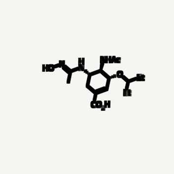 CCC(CC)O[C@@H]1C=C(C(=O)O)C[C@H](N/C(C)=N/O)[C@H]1NC(C)=O